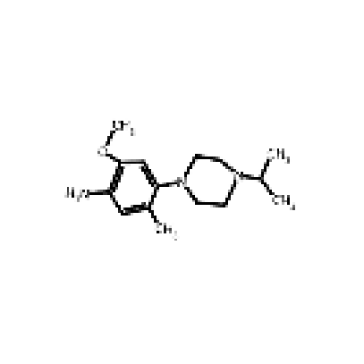 COc1cc(N2CCN(C(C)C)CC2)c(C)cc1N